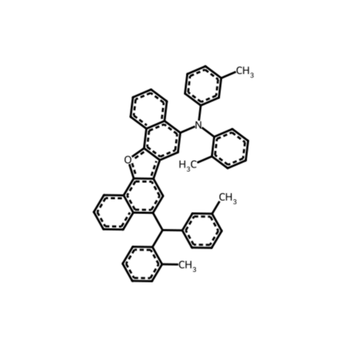 Cc1cccc(C(c2ccccc2C)c2cc3c4cc(N(c5cccc(C)c5)c5ccccc5C)c5ccccc5c4oc3c3ccccc23)c1